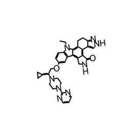 CCn1c2ccc(OCC(=C3CC3)N3CCN(c4ncccn4)CC3)cc2c2c3c(c4c(c21)CCc1n[nH]cc1-4)C(=O)NC3